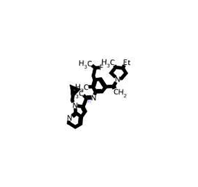 C=C(c1cc(CC(C)F)c(C)c(/N=C(\C)c2cc3c(n2CC2CC2)=NCCC=3)c1)N1CCC(CC)C(C)C1